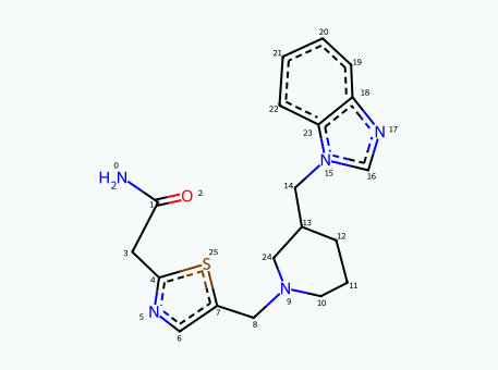 NC(=O)Cc1ncc(CN2CCCC(Cn3cnc4ccccc43)C2)s1